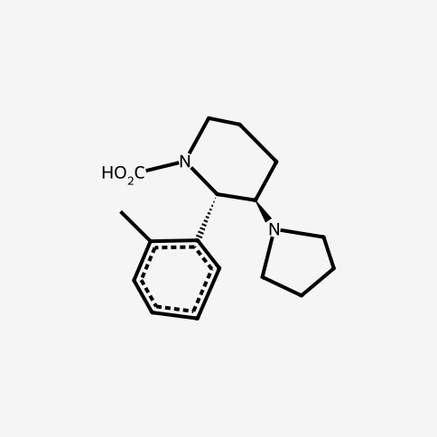 Cc1ccccc1[C@H]1[C@H](N2CCCC2)CCCN1C(=O)O